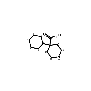 O=C(O)C1(C2CCCCC2)CC[N]CC1